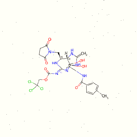 C=C1N[C@H]2[C@H](CN3C(=O)CCC3=O)N/C(=N\C(=O)OCC(Cl)(Cl)Cl)N3CC(NC(=O)c4ccc(C)cc4)C(O)(O)C23N1